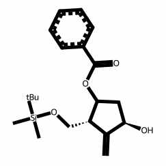 C=C1[C@H](O)CC(OC(=O)c2ccccc2)[C@H]1CO[Si](C)(C)C(C)(C)C